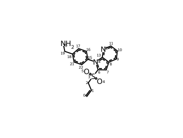 C=CCS(=O)(=O)c1cc2cccnc2n1-c1ccc(CN)cc1